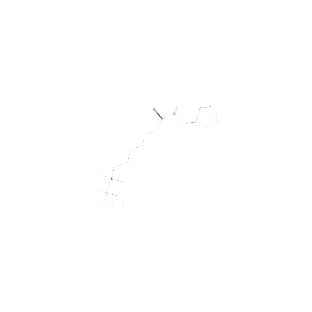 C=C(COCCCCC(F)(F)C(F)(F)S(=O)(=O)O)C(=O)OC1CCOC1